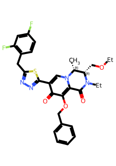 CCOC[C@H]1[C@@H](C)n2cc(-c3nnc(Cc4ccc(F)cc4F)s3)c(=O)c(OCc3ccccc3)c2C(=O)N1CC